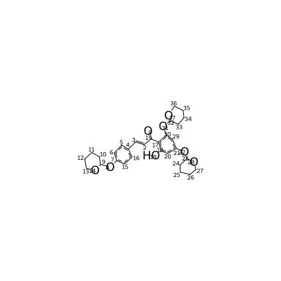 O=C(C=Cc1ccc(OC2CCCCO2)cc1)c1c(O)cc(OC2CCCCO2)cc1OC1CCCCO1